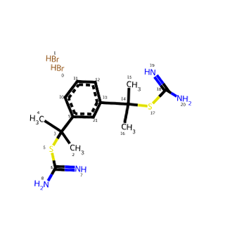 Br.Br.CC(C)(SC(=N)N)c1cccc(C(C)(C)SC(=N)N)c1